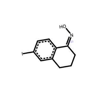 O/N=C1/CCCc2cc(I)ccc21